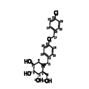 OC[C@H]1[C@H](O)[C@H](O)[C@@H](O)CN1Cc1ccc(OCc2ccc(Cl)cc2)cc1